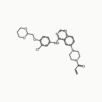 C=CC(=O)N1CCN(c2ccc3ncnc(Nc4ccc(OCC5OCCCO5)c(Cl)c4)c3c2)CC1